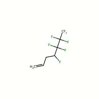 C=CCC(F)C(F)(F)C(F)(F)C(F)(F)F